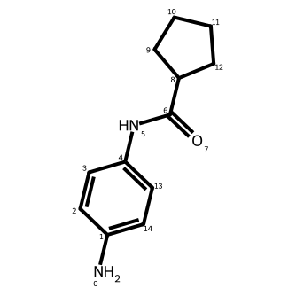 Nc1ccc(NC(=O)C2CCCC2)cc1